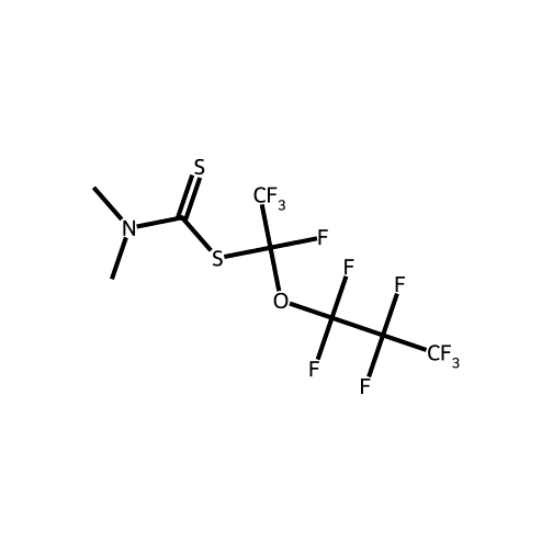 CN(C)C(=S)SC(F)(OC(F)(F)C(F)(F)C(F)(F)F)C(F)(F)F